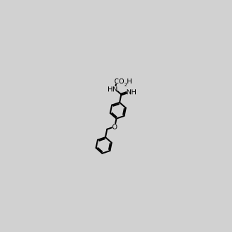 N=C(NC(=O)O)c1ccc(OCc2ccccc2)cc1